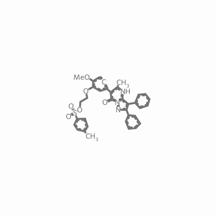 COc1ccc(-c2c(C)[nH]c3c(-c4ccccc4)c(-c4ccccc4)nn3c2=O)cc1OCCOS(=O)(=O)c1ccc(C)cc1